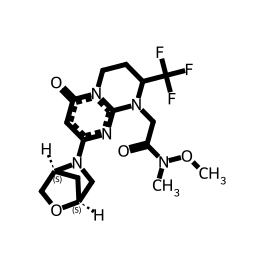 CON(C)C(=O)CN1c2nc(N3C[C@@H]4C[C@H]3CO4)cc(=O)n2CCC1C(F)(F)F